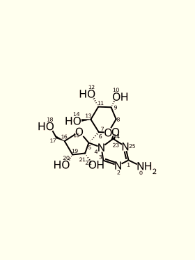 Nc1ncn([C@]2(C3OC[C@@H](O)[C@@H](O)[C@@H]3O)O[C@H](CO)[C@@H](O)[C@H]2O)c(=O)n1